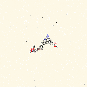 CCOC(=O)CCc1ccc2c(c1)nc(N)c1ncc(C(C)Cc3ccc(OCCCC(F)(F)P(=O)(OCC)OCC)cc3)cc12